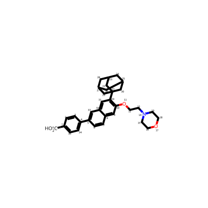 O=C(O)c1ccc(-c2ccc3cc(OCCN4CCOCC4)c(C45CC6CC(CC(C6)C4)C5)cc3c2)cc1